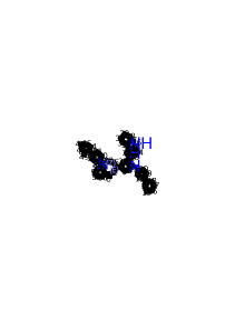 C=C1/C=C(c2ccc(Nc3ccc(-c4ccccc4)cc3)c(-c3ccc4[nH]c5ccccc5c4c3)c2)\C=C/N(c2ccc(C3C=CC=CC3C)cc2)c2ccccc21